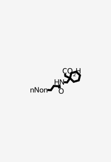 CCCCCCCCCCCC(=O)NCC1(CC(=O)O)CCCCC1